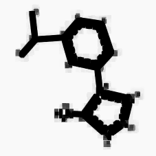 CC(C)c1cccc(-n2nnnc2N)c1